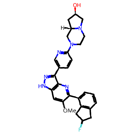 COc1cc2[nH]nc(-c3ccc(N4CCN5C[C@H](O)C[C@H]5C4)nc3)c2nc1-c1cccc2c1CC(F)C2